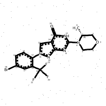 C[C@@H]1COCCN1c1nc2nn(-c3ccc(Br)cc3C(F)(F)F)cc2c(=O)[nH]1